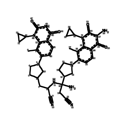 Cc1c(N2CCC(CC(C#N)NC(N)(CC#N)C3CCN(c4ccc5c(=O)n(N)c(=O)n(C6CC6)c5c4C)C3)C2)ccc2c(=O)[nH]c(=O)n(C3CC3)c12